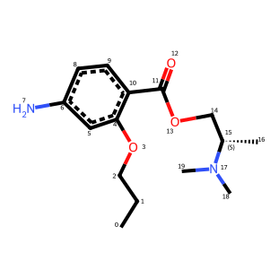 CCCOc1cc(N)ccc1C(=O)OC[C@H](C)N(C)C